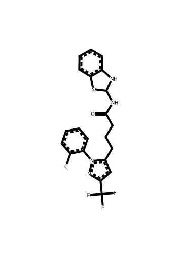 O=C(CCCc1cc(C(F)(F)F)nn1-c1ccccc1Cl)NC1Nc2ccccc2S1